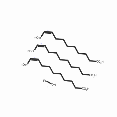 CC(C)O.CCCCCCCC/C=C\CCCCCCCC(=O)O.CCCCCCCC/C=C\CCCCCCCC(=O)O.CCCCCCCC/C=C\CCCCCCCC(=O)O.[Ti]